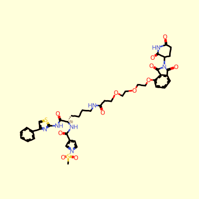 CS(=O)(=O)n1ccc(C(=O)N[C@@H](CCCCNC(=O)CCOCCOCCOc2cccc3c2C(=O)N(C2CCC(=O)NC2=O)C3=O)C(=O)Nc2nc(-c3ccccc3)cs2)c1